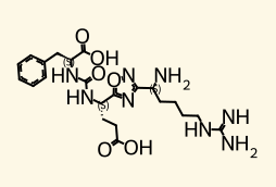 N=C(N)NCCCC[C@H](N)c1noc([C@H](CCC(=O)O)NC(=O)N[C@@H](Cc2ccccc2)C(=O)O)n1